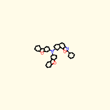 c1ccc(-c2nc3ccc4ccc(N(c5ccc6c(c5)oc5ccccc56)c5ccc6oc7ccccc7c6c5)cc4c3o2)cc1